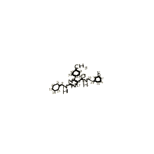 Cc1ccc(-c2nc(NCC3CCCCC3)ncc2C(=O)NCCc2cccc(F)c2)cc1